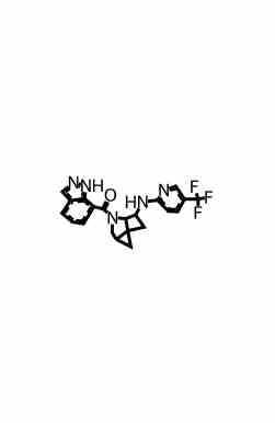 O=C(c1cccc2cn[nH]c12)N1CC2CC23CC(Nc2ccc(C(F)(F)F)cn2)C13